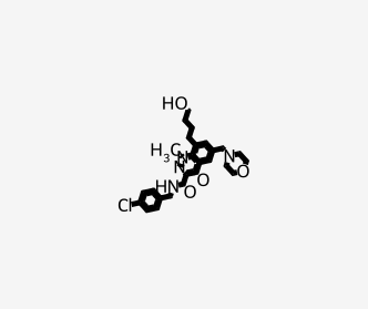 Cn1nc(C(=O)NCc2ccc(Cl)cc2)c(=O)c2cc(CN3CCOCC3)cc(CCCCO)c21